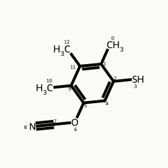 Cc1c(S)cc(OC#N)c(C)c1C